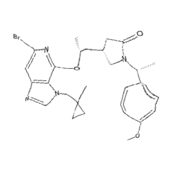 COc1ccc([C@@H](C)N2C[C@H]([C@@H](C)Oc3nc(Br)cc4ncn(C5(C)CC5)c34)CC2=O)cc1